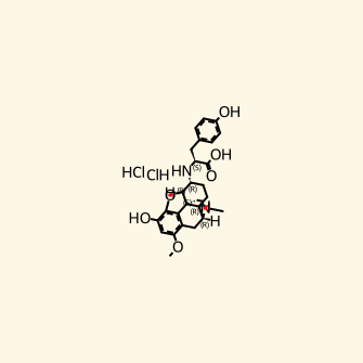 COc1cc(O)c2c3c1C[C@@H]1[C@@H]4CC[C@@H](N[C@@H](Cc5ccc(O)cc5)C(=O)O)[C@H](O2)[C@]34CCN1C.Cl.Cl